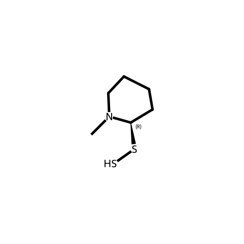 CN1CCCC[C@H]1SS